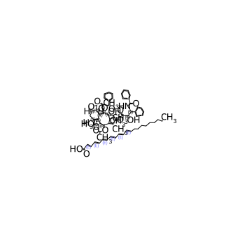 CC(=O)O[C@H]1C(=O)[C@@]2(C)[C@H]([C@H](OC(=O)c3ccccc3)[C@]3(O)C[C@H](OC(=O)[C@H](O)[C@@H](NC(=O)c4ccccc4)c4ccccc4)C(C)=C1C3(C)C)[C@]1(OC(C)=O)CO[C@@H]1C[C@@H]2O.CCCCCCCCC/C=C/C=C/C=C/C=C/C=C/C=C/C(=O)O